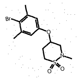 Cc1cc(OC2CCS(=O)(=O)N(C)C2)cc(C)c1Br